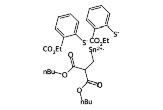 CCCCOC(=O)C([CH2][Sn+2])C(=O)OCCCC.CCOC(=O)c1ccccc1[S-].CCOC(=O)c1ccccc1[S-]